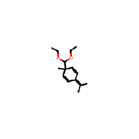 CCOC(OCC)C1(C)C=CC(=C(C)C)C=C1